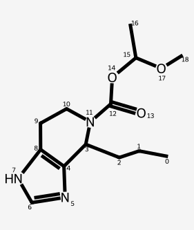 CCCC1c2nc[nH]c2CCN1C(=O)OC(C)OC